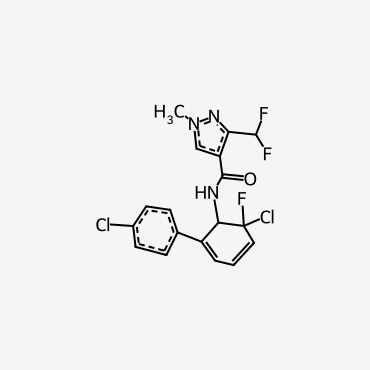 Cn1cc(C(=O)NC2C(c3ccc(Cl)cc3)=CC=CC2(F)Cl)c(C(F)F)n1